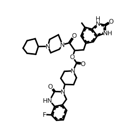 Cc1cc(CC(OC(=O)N2CCC(N3Cc4cccc(F)c4NC3=O)CC2)C(=O)N2CCN(C3CCCCC3)CC2)cc2[nH]c(=O)[nH]c12